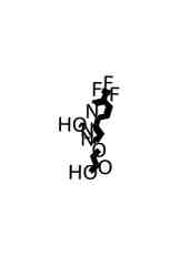 O=C(O)COc1cc(-c2ccc(C(F)(F)F)cn2)n(O)n1